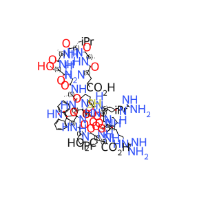 CC(C)C[C@H](NC(=O)[C@H](C)NC(=O)[C@@H](N)CCC(=O)O)C(=O)N[C@@H](C)C(=O)N[C@@H](CO)C(=O)NCC(=O)N[C@@H](C)C(=O)N[C@@H](Cc1c[nH]c2ccccc12)C(=O)N1CCC[C@H]1C(=O)N[C@@H](CC(C)C)C(=O)N1CCC[C@H]1C(=O)N[C@@H](CC(C)C)C(=O)N1CCC[C@H]1C(=O)N[C@@H](Cc1ccccc1)C(=O)N[C@@H](CS)C(=O)N[C@@H](CCCNC(=N)N)C(=O)N[C@@H](CCCNC(=N)N)C(=O)N[C@@H](CC(=O)O)C(=O)O